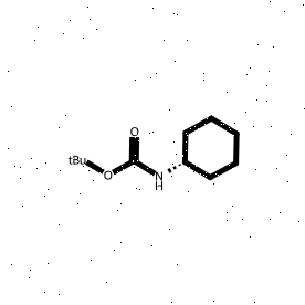 CC(C)(C)OC(=O)N[C@@H]1C[CH]CCC1